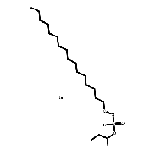 CCCCCCCCCCCCCCCCOOP(=O)([O-])OC(C)CC.[Na+]